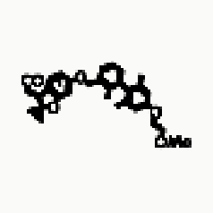 COCCOc1cc(C)c(-c2cccc(COc3ccc4c(c3)OC3(CC3)C4CC(=O)O)c2C)c(C)c1